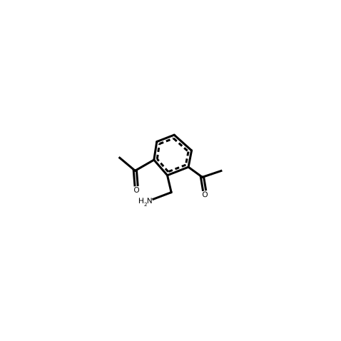 CC(=O)c1cccc(C(C)=O)c1CN